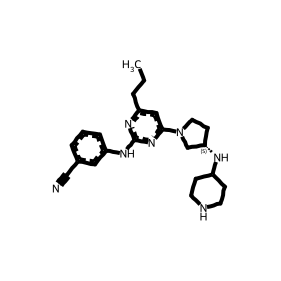 CCCc1cc(N2CC[C@H](NC3CCNCC3)C2)nc(Nc2cccc(C#N)c2)n1